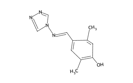 Cc1cc(/C=N/n2cnnc2)c(C)cc1O